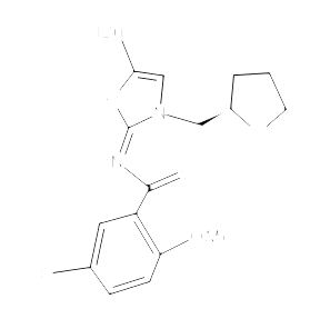 COc1ccc(C(F)(F)F)cc1C(=O)N=c1oc(C(C)(C)C)cn1C[C@H]1CCCO1